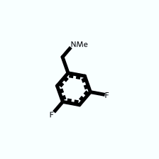 [CH2-][NH2+]Cc1cc(F)cc(F)c1